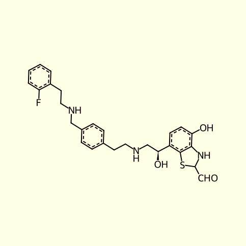 O=CC1Nc2c(O)ccc([C@@H](O)CNCCc3ccc(CNCCc4ccccc4F)cc3)c2S1